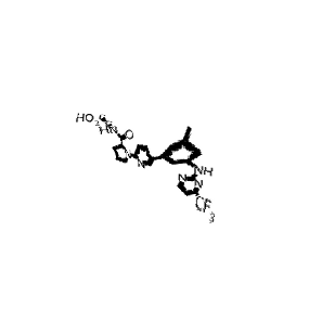 Cc1cc(Nc2nccc(C(F)(F)F)n2)cc(-c2ccc(N3CCC[C@H]3C(=O)NCC(=O)O)nc2)c1